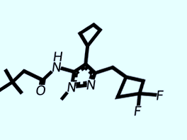 Cn1nc(CC2CC(F)(F)C2)c(C2CCC2)c1NC(=O)CC(C)(C)C